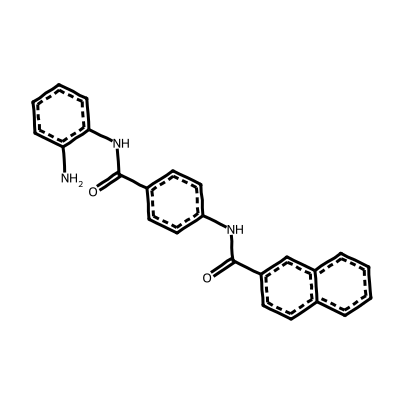 Nc1ccccc1NC(=O)c1ccc(NC(=O)c2ccc3ccccc3c2)cc1